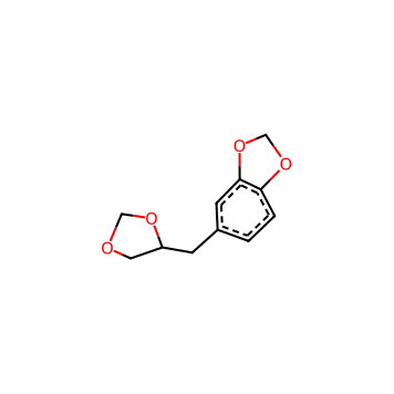 c1cc2c(cc1CC1COCO1)OCO2